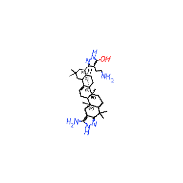 CC1(C)CC2C3=CCC4[C@@]5(C)Cc6c(n[nH]c6N)C(C)(C)C5CC[C@@]4(C)[C@]3(C)CC[C@@H]2[C@H](c2n[nH]c(O)c2CCN)C1